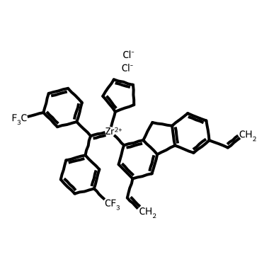 C=Cc1ccc2c(c1)-c1cc(C=C)c[c]([Zr+2]([C]3=CC=CC3)=[C](c3cccc(C(F)(F)F)c3)c3cccc(C(F)(F)F)c3)c1C2.[Cl-].[Cl-]